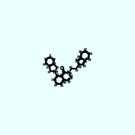 O=c1c2c(N3Cc4ccccc4C3)cccc2cnn1CCc1cn2ccccc2n1